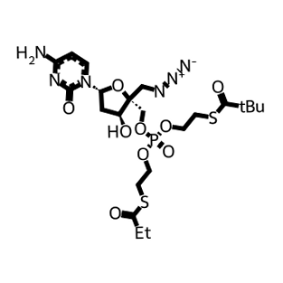 CCC(=O)SCCOP(=O)(OCCSC(=O)C(C)(C)C)OC[C@@]1(CN=[N+]=[N-])O[C@@H](n2ccc(N)nc2=O)C[C@@H]1O